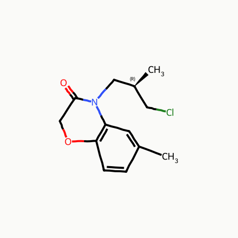 Cc1ccc2c(c1)N(C[C@@H](C)CCl)C(=O)CO2